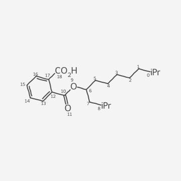 CC(C)CCCCCC(CC(C)C)OC(=O)c1ccccc1C(=O)O